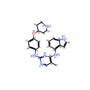 Cc1cnc(Nc2ccc(OC3CCNCC3)cc2)nc1Nc1cccc2[nH]ccc12